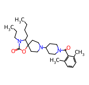 CCCCC1N(CCC)C(=O)OC12CCN(C1CCN(C(=O)c3c(C)cccc3C)CC1)CC2